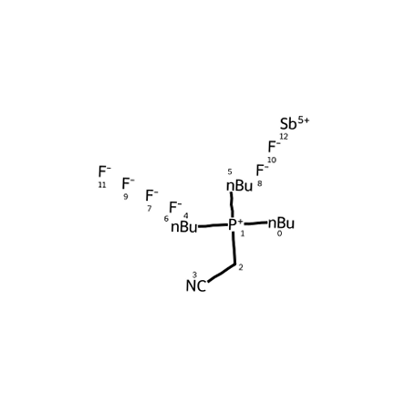 CCCC[P+](CC#N)(CCCC)CCCC.[F-].[F-].[F-].[F-].[F-].[F-].[Sb+5]